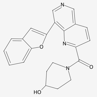 O=C(c1ccc2cncc(-c3cc4ccccc4o3)c2n1)N1CCC(O)CC1